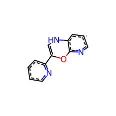 [c]1cnc2c(c1)NC=C(c1ccccn1)O2